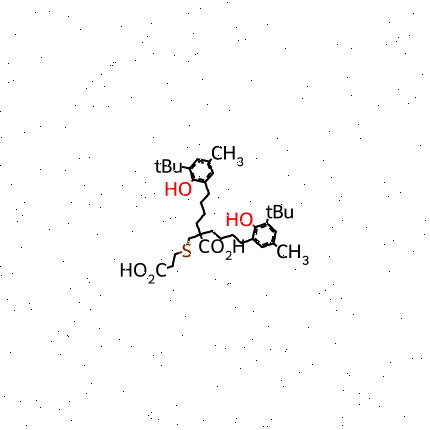 Cc1cc(CCCCC(CCCCc2cc(C)cc(C(C)(C)C)c2O)(CSCCC(=O)O)C(=O)O)c(O)c(C(C)(C)C)c1